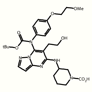 COCCOc1ccc(N(C(=O)OC(C)(C)C)c2c(CCO)c(NC3CCCN(C(=O)O)C3)nc3ccnn23)cc1